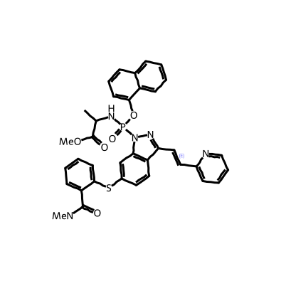 CNC(=O)c1ccccc1Sc1ccc2c(/C=C/c3ccccn3)nn(P(=O)(NC(C)C(=O)OC)Oc3cccc4ccccc34)c2c1